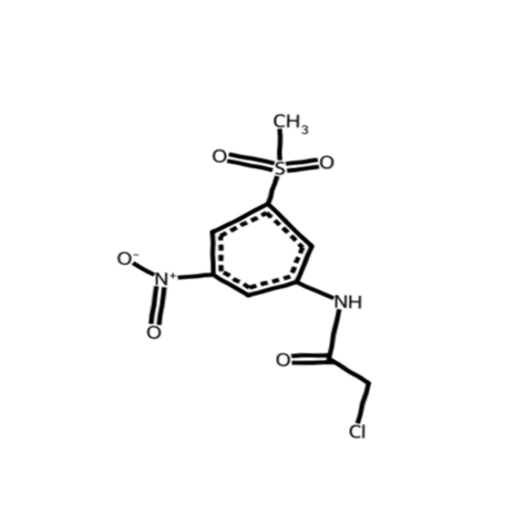 CS(=O)(=O)c1cc(NC(=O)CCl)cc([N+](=O)[O-])c1